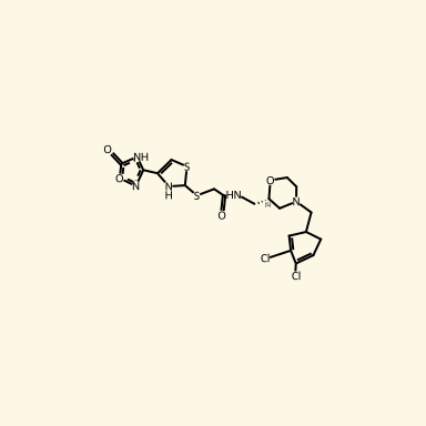 O=C(CSC1NC(c2noc(=O)[nH]2)=CS1)NC[C@H]1CN(CC2C=C(Cl)C(Cl)=CC2)CCO1